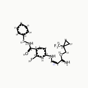 N=C(/C=C\Nc1ccc(C(=O)NSc2ccccc2)c(F)n1)OCC1(C(F)(F)F)CC1